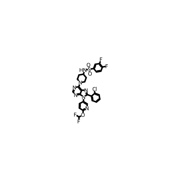 O=S(=O)(NC1CCN(c2ncnc3c2nc(-c2ccccc2Cl)n3-c2ccc(OC(F)F)nc2)CC1)c1ccc(F)c(F)c1